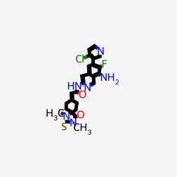 CN1C(=O)C2(CCC(=CC(=O)Nc3cc4cc(-c5cnccc5Cl)c(F)c(N)c4cn3)CC2)N(C)C1=S